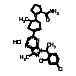 Cc1nn(C(C)c2ccc(Cl)cc2Cl)c2nc(C3=CC[C@H](N4CCC[C@H]4C(N)=O)[C@H](C)C3)cnc12.Cl